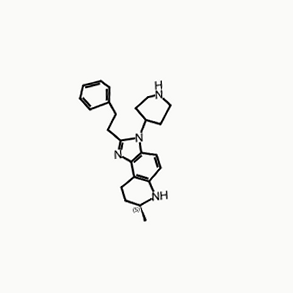 C[C@H]1CCc2c(ccc3c2nc(CCc2ccccc2)n3C2CCNCC2)N1